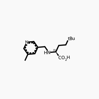 Cc1cncc(CN[C@@H](CCC(C)(C)C)C(=O)O)c1